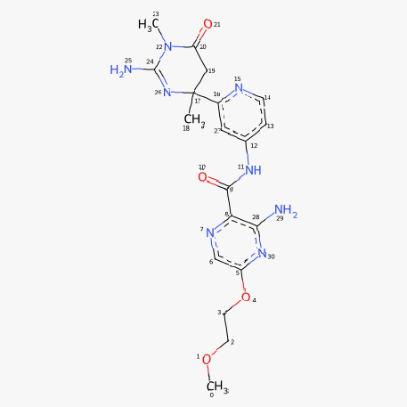 COCCOc1cnc(C(=O)Nc2ccnc(C3(C)CC(=O)N(C)C(N)=N3)c2)c(N)n1